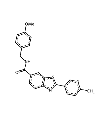 COc1ccc(CNC(=O)c2ccc3nc(-c4ccc(C)nc4)sc3c2)cc1